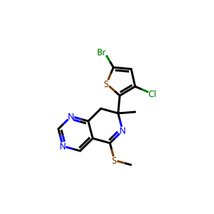 CSC1=NC(C)(c2sc(Br)cc2Cl)Cc2ncncc21